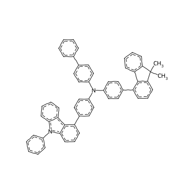 CC1(C)c2ccccc2-c2c(-c3ccc(N(c4ccc(-c5ccccc5)cc4)c4ccc(-c5cccc6c5c5ccccc5n6-c5ccccc5)cc4)cc3)cccc21